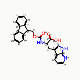 O=C(N[C@H](Cc1c[nH]c2ncccc12)C(=O)O)OCC1c2ccccc2-c2ccccc21